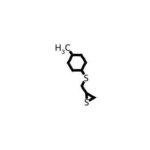 CC1CCC(SCC2CS2)CC1